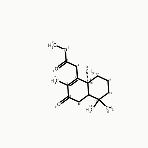 COC(=O)CC1=C(C)C(=O)CC2C(C)(C)CCC[C@]12C